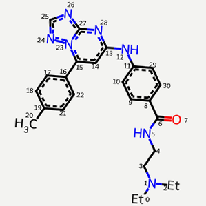 CCN(CC)CCNC(=O)c1ccc(Nc2cc(-c3ccc(C)cc3)n3ncnc3n2)cc1